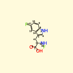 O=C(O)C(Cc1c[nH]c2ccc(F)cc12)NF